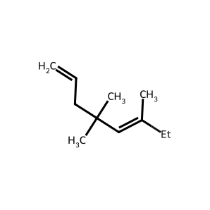 C=CCC(C)(C)C=C(C)CC